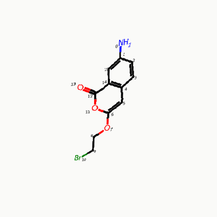 Nc1ccc2cc(OCCBr)oc(=O)c2c1